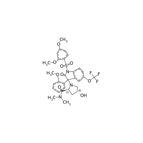 COc1ccc(S(=O)(=O)N2C(=O)C(c3ccccc3OC)(N3C[C@H](O)C[C@H]3C(=O)N(C)C)c3cc(OC(F)(F)F)ccc32)c(OC)c1